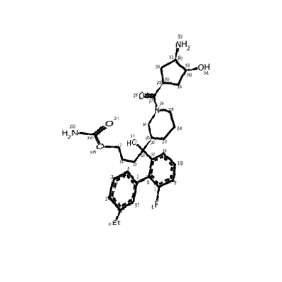 CCc1cccc(-c2c(F)cccc2C(O)(CCCOC(N)=O)[C@@H]2CCCN(C(=O)[C@H]3C[C@@H](N)[C@@H](O)C3)C2)c1